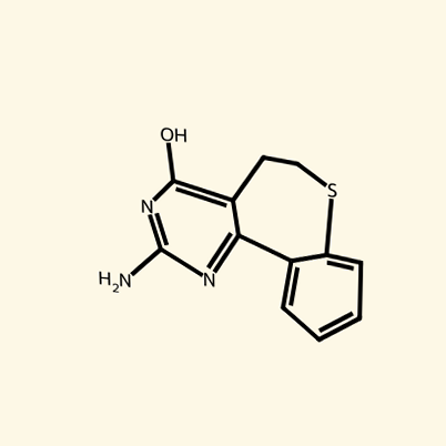 Nc1nc(O)c2c(n1)-c1ccccc1SCC2